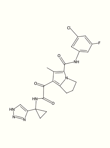 Cc1c(C(=O)C(=O)NC2(c3c[nH]nn3)CC2)c2n(c1C(=O)Nc1cc(F)cc(Cl)c1)CCC2